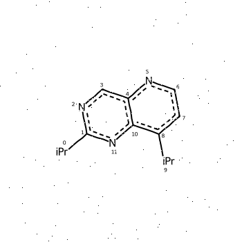 CC(C)c1ncc2nccc(C(C)C)c2n1